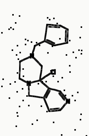 ClC12CN(Cc3ccccc3)CCN1Cc1ccncc12